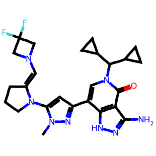 Cn1nc(-c2cn(C(C3CC3)C3CC3)c(=O)c3c(N)n[nH]c23)cc1N1CCC/C1=C\N1CC(F)(F)C1